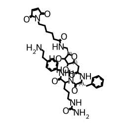 NCCc1ccc(NC(=O)C(CCCNC(N)=O)NC(=O)[C@@H](Cc2ccccc2)NC(=O)C[C@@H]2O[C@H](CNC(=O)CCCCCN3C(=O)C=CC3=O)C(O)C2O)cc1